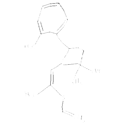 C=CS/C(C)=C\C1C(c2ccccc2C)CC1(C)CCC